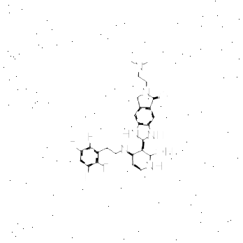 CN(C)CCN1Cc2cc3c(cc2C1=O)N/C(=C1/C(=N/CCc2c(F)c(F)cc(F)c2F)C=CNC1O)N3